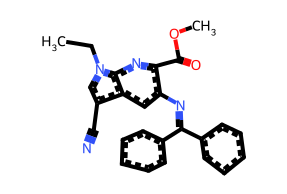 CCn1cc(C#N)c2cc(N=C(c3ccccc3)c3ccccc3)c(C(=O)OC)nc21